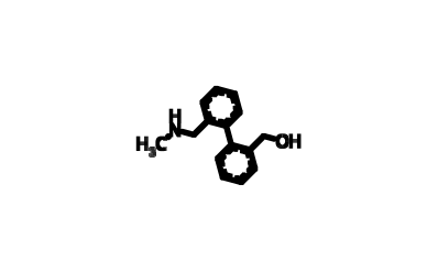 CNCc1ccccc1-c1ccccc1CO